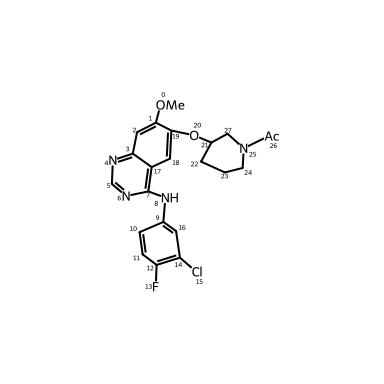 COc1cc2ncnc(Nc3ccc(F)c(Cl)c3)c2cc1OC1CCCN(C(C)=O)C1